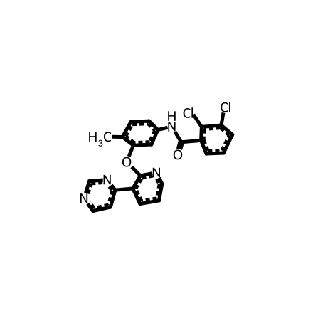 Cc1ccc(NC(=O)c2cccc(Cl)c2Cl)cc1Oc1ncccc1-c1ccncn1